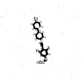 CCCCOc1cc(F)c(C#C[C@H]2CC[C@H]([C@H]3CC[C@H](CC)CC3)CC2)c(F)c1